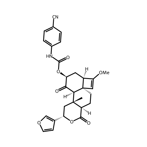 COC1=C[C@@]23CC[C@H]4C(=O)O[C@H](c5ccoc5)C[C@]4(C)[C@H]2C(=O)[C@@H](OC(=O)Nc2ccc(C#N)cc2)C[C@@H]13